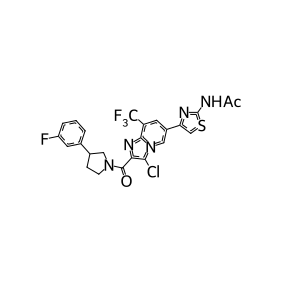 CC(=O)Nc1nc(-c2cc(C(F)(F)F)c3nc(C(=O)N4CCC(c5cccc(F)c5)C4)c(Cl)n3c2)cs1